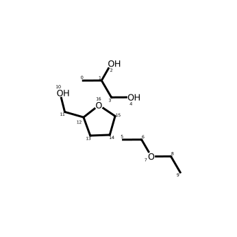 CC(O)CO.CCOCC.OCC1CCCO1